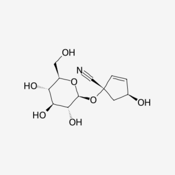 N#C[C@@]1(O[C@@H]2O[C@H](CO)[C@@H](O)[C@H](O)[C@H]2O)C=C[C@@H](O)C1